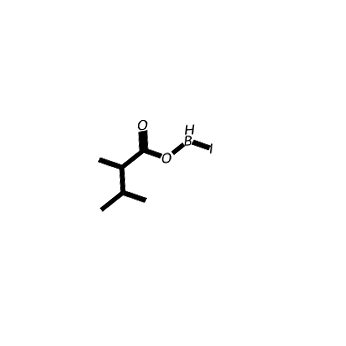 CC(C)C(C)C(=O)OBI